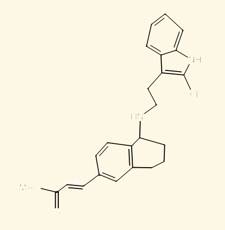 COC(=O)/C=C/c1ccc2c(c1)CCCC2NCCc1c(C)[nH]c2ccccc12